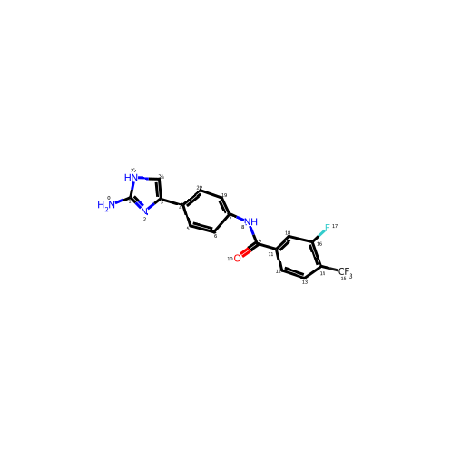 Nc1nc(-c2ccc(NC(=O)c3ccc(C(F)(F)F)c(F)c3)cc2)c[nH]1